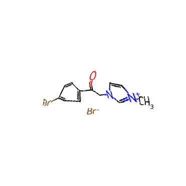 C[n+]1ccn(CC(=O)c2ccc(Br)cc2)c1.[Br-]